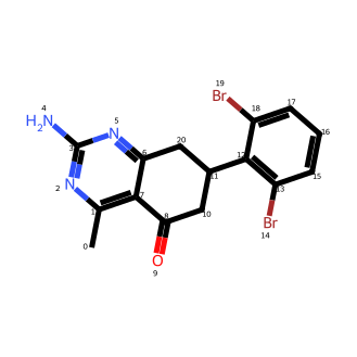 Cc1nc(N)nc2c1C(=O)CC(c1c(Br)cccc1Br)C2